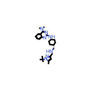 Cc1cc(CNC[C@H]2CC[C@@H](Nc3nc(N(C)C)c4ccccc4n3)CC2)nn1C(C)(C)C